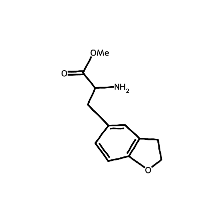 COC(=O)C(N)Cc1ccc2c(c1)CCO2